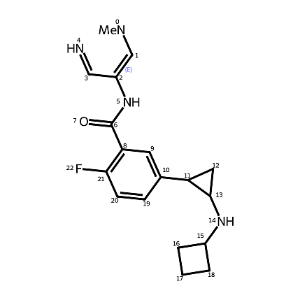 CN/C=C(\C=N)NC(=O)c1cc(C2CC2NC2CCC2)ccc1F